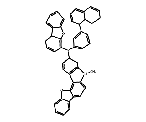 C[SiH]1C2=C(C=CC(N(C3=C4Oc5ccccc5C4CC=C3)c3cccc(C4C=CC=C5C=CCCC54)c3)C2)c2c1ccc1c2oc2ccccc21